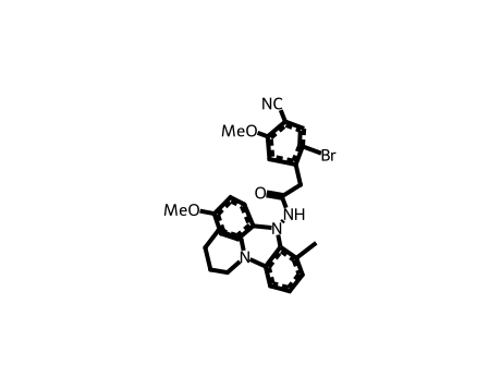 COc1ccc(N(NC(=O)Cc2cc(OC)c(C#N)cc2Br)c2c(C)cccc2N2CCCCC2)cc1